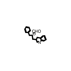 O=COC(Cc1ccccc1)CC1C=Nc2ccccc2C1